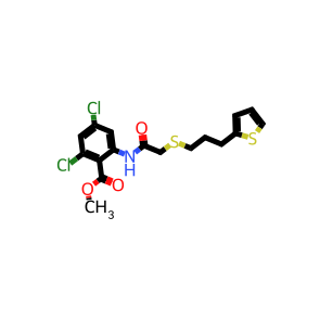 COC(=O)c1c(Cl)cc(Cl)cc1NC(=O)CSCCCc1cccs1